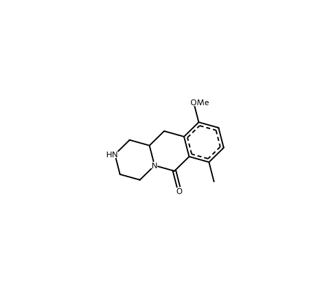 COc1ccc(C)c2c1CC1CNCCN1C2=O